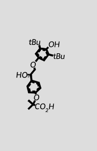 CC(C)(Oc1ccc([C@@H](O)COc2cc(C(C)(C)C)c(O)c(C(C)(C)C)c2)cc1)C(=O)O